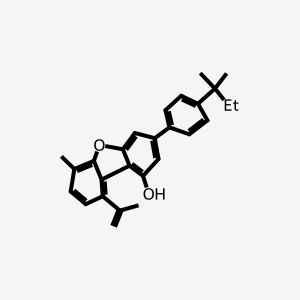 C=C(C)c1ccc(C)c2oc3cc(-c4ccc(C(C)(C)CC)cc4)cc(O)c3c12